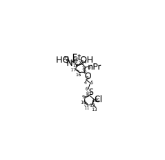 CCCc1c(OCCCSc2cc[c]c(C)c2Cl)ccc(C(CC)=NO)c1O